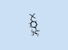 CC(C)(C)Cc1ccc(NS(C)(=O)=O)nc1